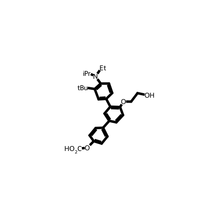 CCN(c1ccc(-c2cc(-c3ccc(OC(=O)O)cc3)ccc2OCCO)cc1C(C)(C)C)C(C)C